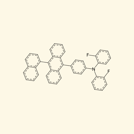 Fc1ccccc1N(c1ccc(-c2c3ccccc3c(-c3cccc4ccccc34)c3ccccc23)cc1)c1ccccc1F